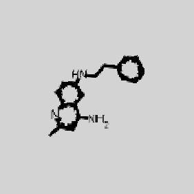 Cc1cc(N)c2cc(NCCc3ccccc3)ccc2n1